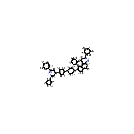 c1ccc(-c2cc(-c3ccc(-c4ccc(-c5ccc6ccc7nc(-c8ccccc8)cc(-c8ccccc8)c7c6c5)cc4)cc3)cc(-c3ccccc3)n2)cc1